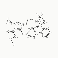 CCCN1NC(C2CC2)C(C(=O)OCC)=C1Cc1ccc(-c2ccccc2S(=O)(=O)NC(C)(C)C)cc1